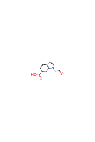 O=CCn1ccc2ccc(C(=O)O)cc21